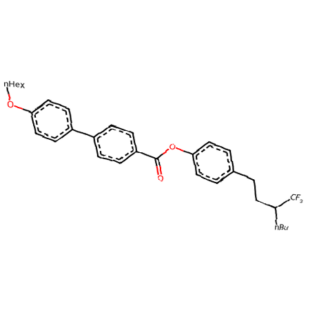 CCCCCCOc1ccc(-c2ccc(C(=O)Oc3ccc(CCC(CCCC)C(F)(F)F)cc3)cc2)cc1